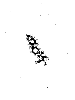 Cn1ncc(S(=O)(=O)N2CCC(F)(c3cn4ncnc4cc3F)CC2)c1C#N